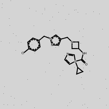 O=C(NC1CN(Cc2cnn(Cc3ccc(Cl)cc3)c2)C1)S1(C2CC2)C=CN=C1